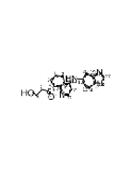 [O-][S+](CCO)c1cccc2c(Nc3ccc4scnc4c3)ccnc12